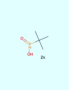 CC(C)(C)[PH](=O)O.[Zn]